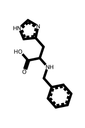 O=C(O)C(Cc1c[nH]cn1)NCc1ccccc1